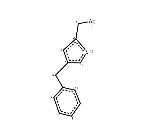 CC(=O)Cc1cc(Cc2ccccc2)cs1